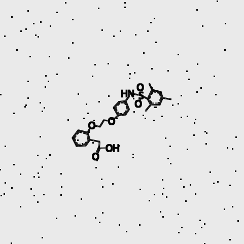 Cc1cc(C)c(S(=O)(=O)Nc2ccc(OCCOc3ccccc3CC(=O)O)cc2)c(C)c1